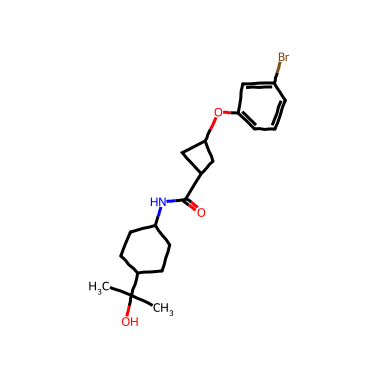 CC(C)(O)C1CCC(NC(=O)C2CC(Oc3cccc(Br)c3)C2)CC1